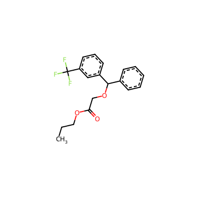 CCCOC(=O)COC(c1ccccc1)c1cccc(C(F)(F)F)c1